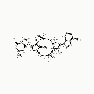 C=C1[C@H]2OP(=O)(O)OC[C@H]3O[C@@H](n4cnc5c(N)ccnc54)[C@H](O)[C@@H]3OP(=O)(O)OC[C@H]1O[C@H]2n1cnc2c(=O)[nH]c(N)nc21